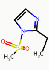 CCc1nccn1S(C)(=O)=O